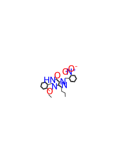 CCCc1nn(Cc2ccccc2[N+](=O)[O-])c2c(=O)[nH]c(-c3ccccc3OCC)nc12